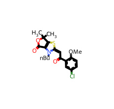 CCCCN1C(=CC(=O)c2cc(Cl)ccc2OC)SC2=C1C(=O)OC2(C)C